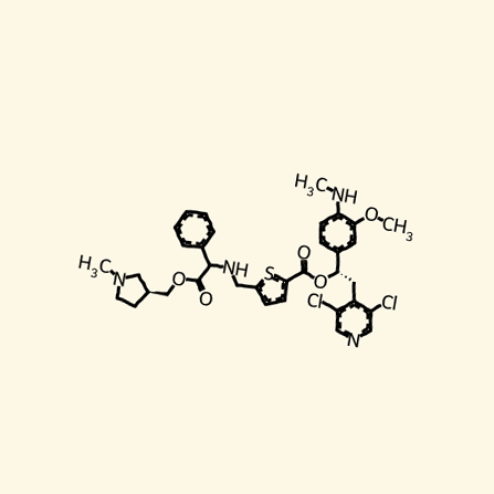 CNc1ccc([C@H](Cc2c(Cl)cncc2Cl)OC(=O)c2ccc(CNC(C(=O)OC[C@H]3CCN(C)C3)c3ccccc3)s2)cc1OC